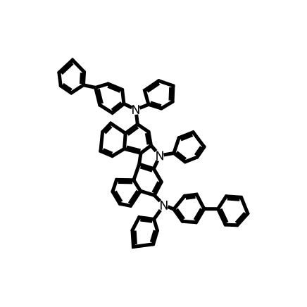 c1ccc(-c2ccc(N(c3ccccc3)c3cc4c(c5ccccc35)c3c5ccccc5c(N(c5ccccc5)c5ccc(-c6ccccc6)cc5)cc3n4-c3ccccc3)cc2)cc1